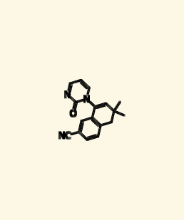 CC1(C)C=C(n2cccnc2=O)c2cc(C#N)ccc2C1